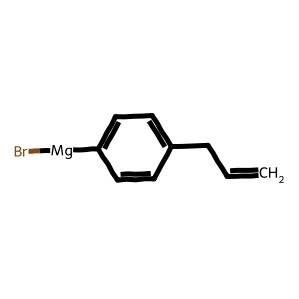 C=CCc1cc[c]([Mg][Br])cc1